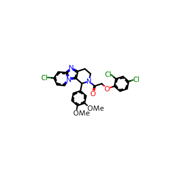 COc1ccc(C2c3c(nc4cc(Cl)ccn34)CCN2C(=O)COc2ccc(Cl)cc2Cl)cc1OC